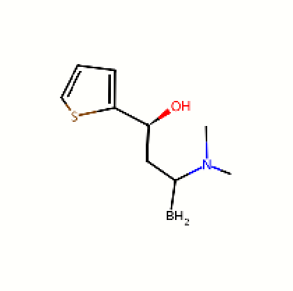 BC(C[C@H](O)c1cccs1)N(C)C